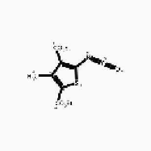 CCOC(=O)c1sc(N=C=O)c(C(=O)OCC)c1C